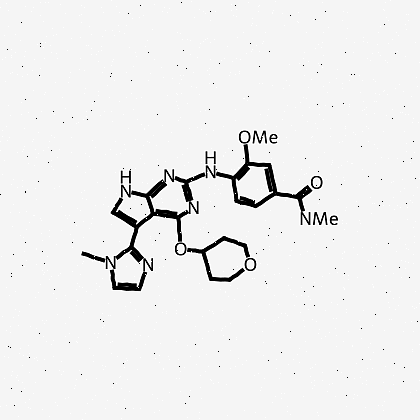 CNC(=O)c1ccc(Nc2nc(OC3CCOCC3)c3c(-c4nccn4C)c[nH]c3n2)c(OC)c1